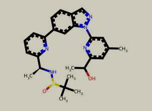 Cc1cc(C(C)O)nc(-n2ncc3ccc(-c4cccc([C@H](C)N[S+]([O-])C(C)(C)C)n4)cc32)c1